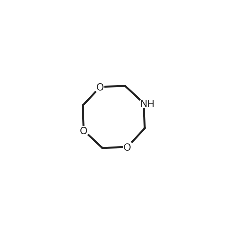 C1NCOCOCO1